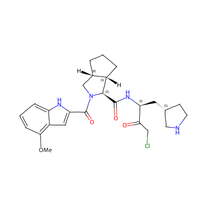 COc1cccc2[nH]c(C(=O)N3C[C@@H]4CCC[C@@H]4[C@H]3C(=O)N[C@@H](C[C@@H]3CCNC3)C(=O)CCl)cc12